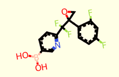 OB(O)c1ccc(C(F)(F)C2(c3ccc(F)cc3F)CO2)nc1